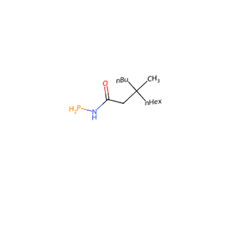 CCCCCCC(C)(CCCC)CC(=O)NP